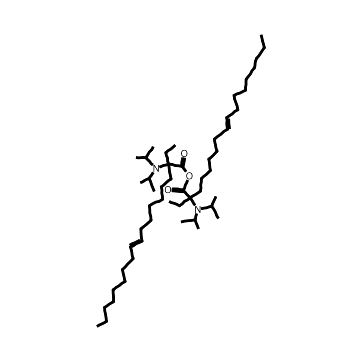 CCCCCCCCC=CCCCCCCC(CC)(C(=O)OC(=O)C(CC)(CCCCCCC=CCCCCCCCC)N(C(C)C)C(C)C)N(C(C)C)C(C)C